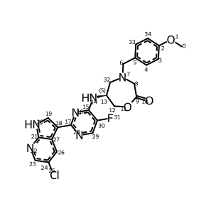 COc1ccc(CN2CC(=O)OC[C@@H](Nc3nc(-c4c[nH]c5ncc(Cl)cc45)ncc3F)C2)cc1